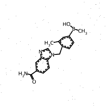 CB(O)c1ccc(Cn2cnc3cc(C(N)=O)ccc32)c(C)c1